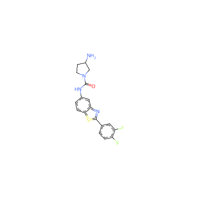 NC1CCN(C(=O)Nc2ccc3sc(-c4ccc(F)c(F)c4)nc3c2)C1